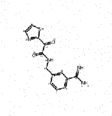 N=C(N)c1cccc(CNC(=O)C(=O)c2nccs2)c1